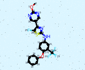 COc1ncc(-c2nc(Nc3ccc(Oc4ccccc4)c(C(F)(F)F)c3)sc2F)cn1